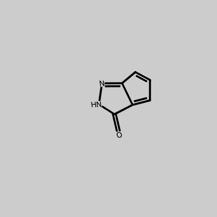 O=C1NN=C2C=CC=C12